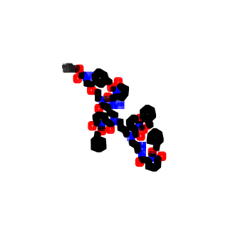 CC(C)(C)OC(=O)NCCOCCNC(=O)[C@H](CCN(CCCCN(CCCNC(=O)c1cccc(=O)n1OCc1ccccc1)C(=O)c1cccc(=O)n1OCc1ccccc1)C(=O)c1cccc(=O)n1OCc1ccccc1)NC(=O)c1cccc(=O)n1OCc1ccccc1